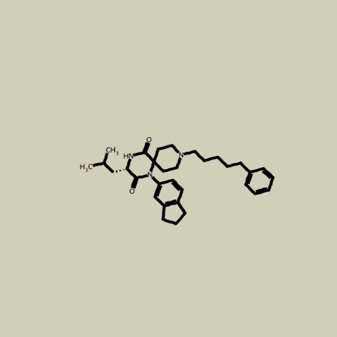 CC(C)C[C@@H]1NC(=O)C2(CCN(CCCCCc3ccccc3)CC2)N(c2ccc3c(c2)CCC3)C1=O